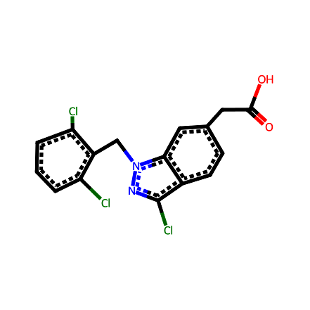 O=C(O)Cc1ccc2c(Cl)nn(Cc3c(Cl)cccc3Cl)c2c1